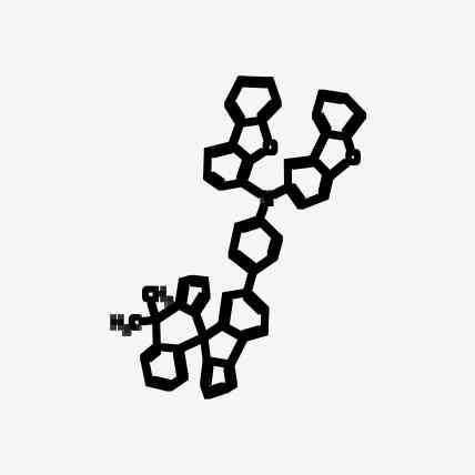 CC1(C)c2ccccc2C2(c3ccccc3-c3ccc(-c4ccc(N(c5ccc6oc7ccccc7c6c5)c5cccc6c5oc5ccccc56)cc4)cc32)c2ccccc21